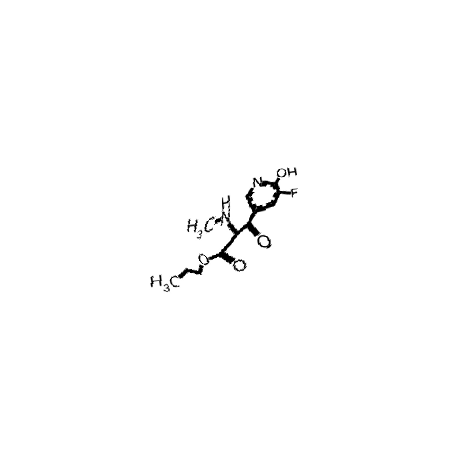 CCCOC(=O)C(NC)C(=O)c1cnc(O)c(F)c1